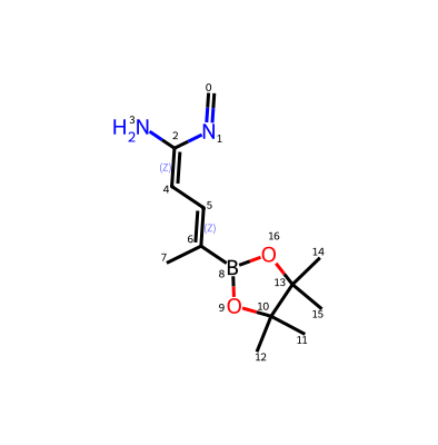 C=N/C(N)=C\C=C(/C)B1OC(C)(C)C(C)(C)O1